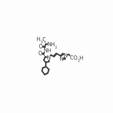 C[C@H](N)C(=O)NC(=O)[C@@H]1CC(C2CCCCC2)CN1C/C=C/c1cn(CC(=O)O)cn1